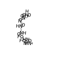 CNc1c(C(=O)NC2CC2)cnc2cc(F)c(-c3ccc(C(=O)NCCCCNC(=O)CCc4nccc5c4CN(C4CCC(=O)NC4=O)C5=O)c(F)c3)cc12